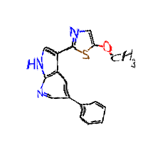 COc1cnc(-c2c[nH]c3ncc(-c4ccccc4)cc23)s1